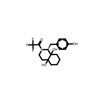 O=C(N1CCC2(O)CCCCC2(O)[C@@H]1Cc1ccc(O)cc1)C(F)(F)F